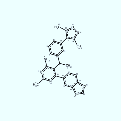 Cc1nc(N)c(C(C)c2cccc(-c3c(C)noc3C)c2)c(-c2ccc3ncsc3c2)n1